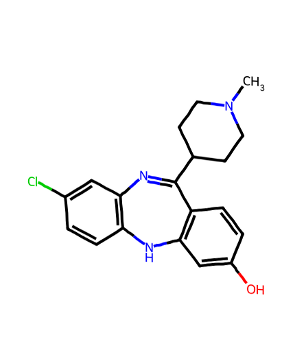 CN1CCC(C2=Nc3cc(Cl)ccc3Nc3cc(O)ccc32)CC1